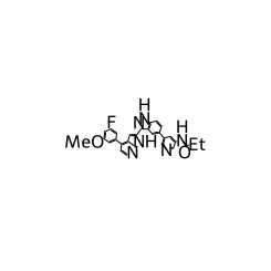 CCC(=O)Nc1cncc(-c2ccc3[nH]nc(-c4cc5c(-c6cc(F)cc(OC)c6)ccnc5[nH]4)c3c2)c1